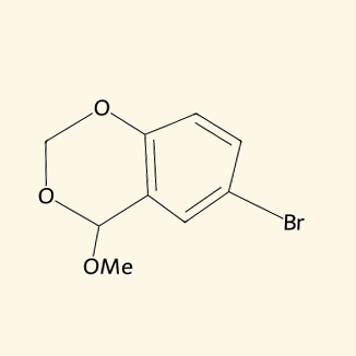 COC1OCOc2ccc(Br)cc21